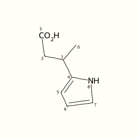 CC(CC(=O)O)c1ccc[nH]1